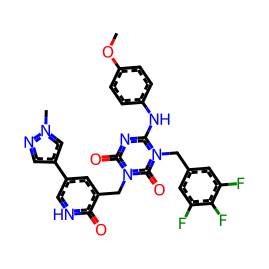 COc1ccc(Nc2nc(=O)n(Cc3cc(-c4cnn(C)c4)c[nH]c3=O)c(=O)n2Cc2cc(F)c(F)c(F)c2)cc1